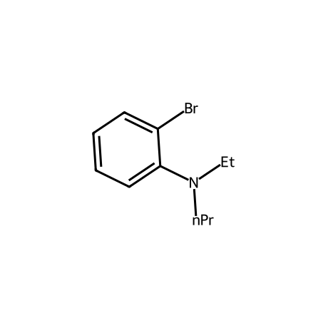 CCCN(CC)c1ccccc1Br